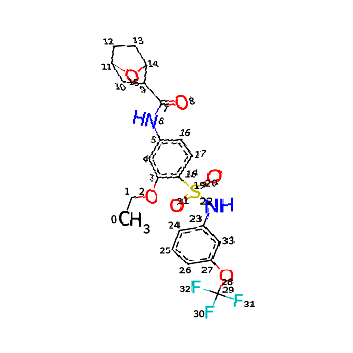 CCOc1cc(NC(=O)C2CC3CCC2O3)ccc1S(=O)(=O)Nc1cccc(OC(F)(F)F)c1